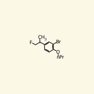 CCCOc1ccc([C](C)CF)cc1Br